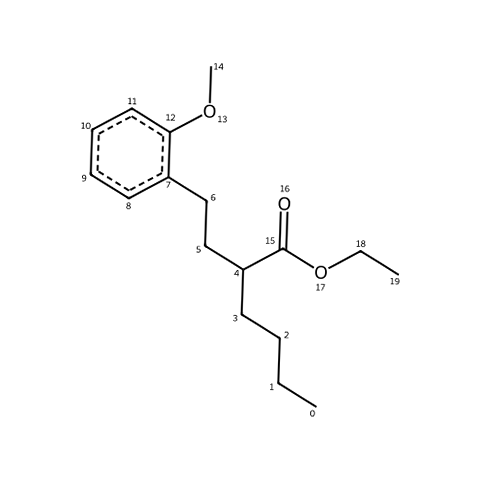 CCCCC(CCc1ccccc1OC)C(=O)OCC